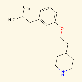 CC(C)Cc1cccc(OCCC2CCNCC2)c1